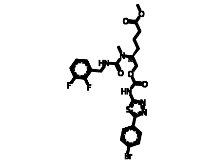 COC(=O)CCC[C@@H](COC(=O)Nc1nnc(-c2ccc(Br)cc2)s1)N(C)C(=O)NCc1cccc(F)c1F